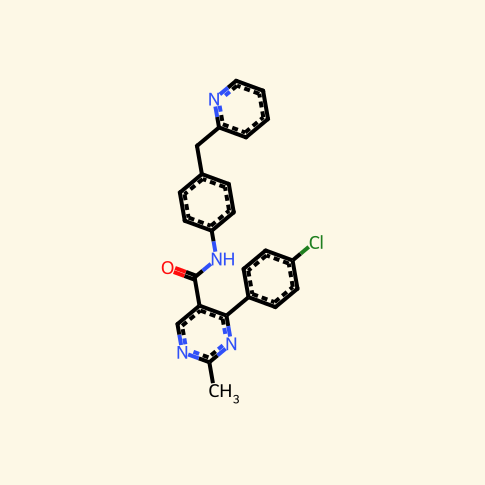 Cc1ncc(C(=O)Nc2ccc(Cc3ccccn3)cc2)c(-c2ccc(Cl)cc2)n1